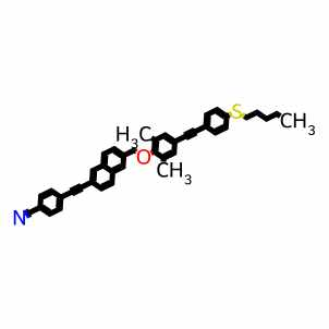 CCCCCSc1ccc(C#Cc2cc(C)c(OCc3ccc4cc(C#Cc5ccc(C#N)cc5)ccc4c3)c(C)c2)cc1